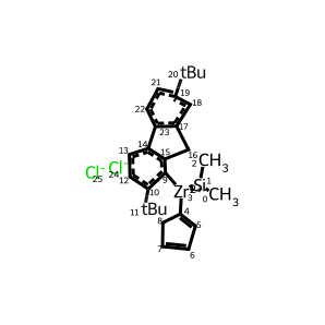 C[Si](C)=[Zr+2]([C]1=CC=CC1)[c]1c(C(C)(C)C)ccc2c1Cc1cc(C(C)(C)C)ccc1-2.[Cl-].[Cl-]